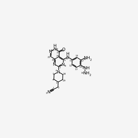 N#CCC1CCN(c2nc(Nc3ccc(NN)c(N)c3)c3c(=O)[nH]ncc3n2)CC1